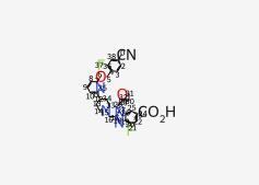 N#Cc1ccc(COc2cccc(C3CCN(Cc4nc5c(F)cc(C(=O)O)cc5n4C[C@@H]4CCO4)CC3)n2)c(F)c1